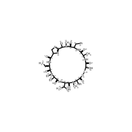 C/C=C1\NC(=O)C2CSC(=N2)C(CC)N(C)C(=O)C(CC(C)C)NC(=O)C(C)NC(=O)C(O)COC(=O)C(C(C)C)N(C)C(=O)C(C(C)O)NC(=O)C(CC)N(CC)C1=O